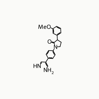 COc1cccc(C2CCN(c3ccc(/C(C=N)=C/N)cc3)C2=O)c1